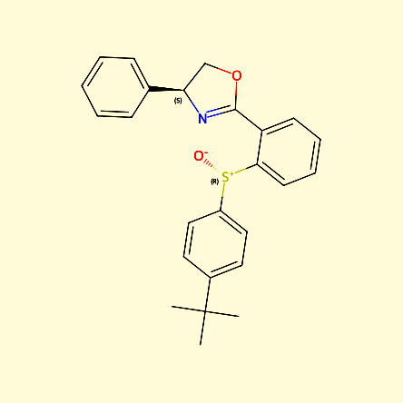 CC(C)(C)c1ccc([S@+]([O-])c2ccccc2C2=N[C@@H](c3ccccc3)CO2)cc1